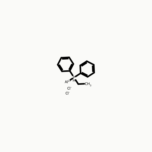 CC[PH]([Al+2])(c1ccccc1)c1ccccc1.[Cl-].[Cl-]